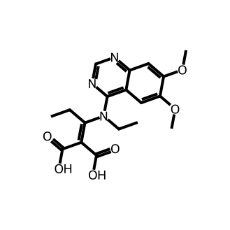 CCC(=C(C(=O)O)C(=O)O)N(CC)c1ncnc2cc(OC)c(OC)cc12